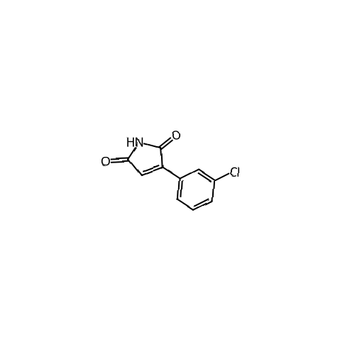 O=C1C=C(c2cccc(Cl)c2)C(=O)N1